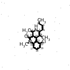 C=C1NC(/C=C\CC)=C(C)c2c1c(=O)n(C)c1cccc(Cl)c21